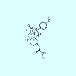 CCNC(=O)CN1CC[C@H]2C[C@@](CC)(C(=O)O)N(S(=O)(=O)c3ccc(OC)cc3)[C@H]2C1